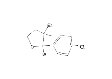 CCC1(C)CCOC1(Br)c1ccc(Cl)cc1